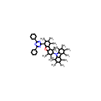 Bc1c(-n2c3c(B)c(B)c(B)c(B)c3c3c(B)c(B)c(B)c(B)c32)c(B)c2c(oc3c(-c4nc(-c5ccccc5)nc(-c5ccccc5)n4)c(B)c(B)c(B)c32)c1B